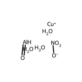 O.O.O.O=[N+]([O-])[O-].[Cu+].[O]=[AlH]